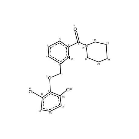 O=C(c1cccc(COc2c(Cl)cccc2Cl)n1)N1CCCCC1